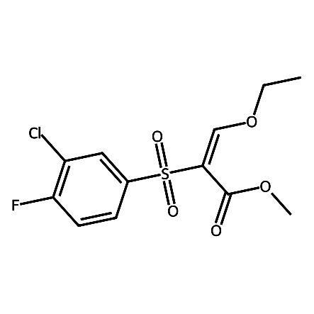 CCOC=C(C(=O)OC)S(=O)(=O)c1ccc(F)c(Cl)c1